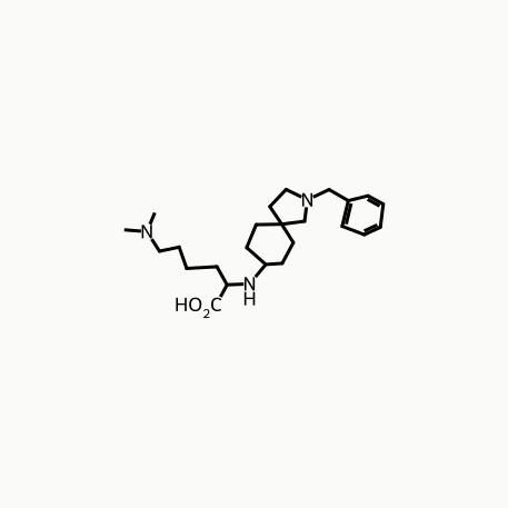 CN(C)CCCCC(NC1CCC2(CC1)CCN(Cc1ccccc1)C2)C(=O)O